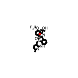 Cc1ccc2c(n1)Nc1cccc(-c3noc(C(C)(C)O)n3)c1N(S(=O)(=O)c1ccc(OC(F)(F)F)cc1)C2